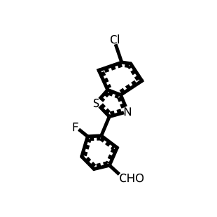 O=Cc1ccc(F)c(-c2nc3ccc(Cl)cc3s2)c1